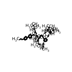 CCCCc1ccc(-c2ccc(C(=O)N[C@@H](CCCNC(=O)OC(C)(C)C)C(=O)N(C)[C@@H]3C(=O)N[C@@H](C)C(=O)N[C@H](COC)Cc4ccc(OCCNC(=O)OC(C)(C)C)c(c4)-c4cc3ccc4OCCNC(=O)OC(C)(C)C)cc2)cc1